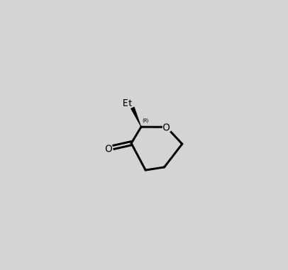 CC[C@H]1OCCCC1=O